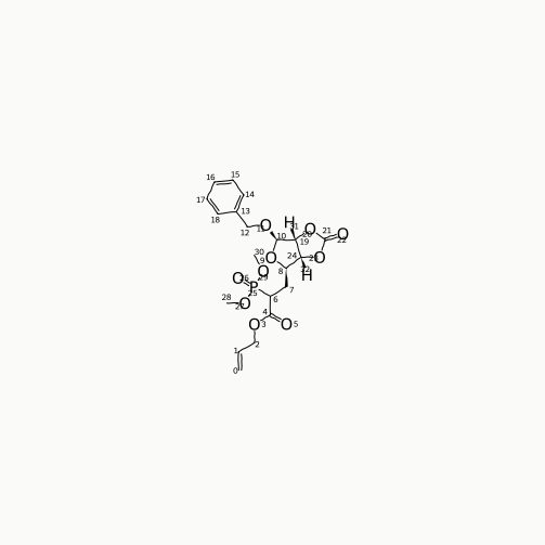 C=CCOC(=O)C(C[C@H]1O[C@@H](OCc2ccccc2)[C@@H]2OC(=O)O[C@@H]21)P(=O)(OC)OC